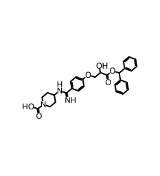 N=C(NC1CCN(C(=O)O)CC1)c1ccc(OCC(O)C(=O)OC(c2ccccc2)c2ccccc2)cc1